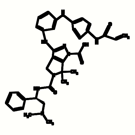 C=CC(=O)Nc1ccc(Nc2cccc(Nc3nn(C(=O)O)c4c3CN(C(=O)N[C@H](CN(C)C)c3ccccc3)C4(C)C)c2)cc1